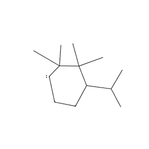 CC(C)C1CC[C]C(C)(C)C1(C)C